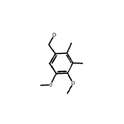 COc1cc(C[O])c(C)c(C)c1OC